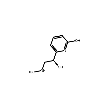 CC(C)(C)NC[C@H](O)c1cccc(O)n1